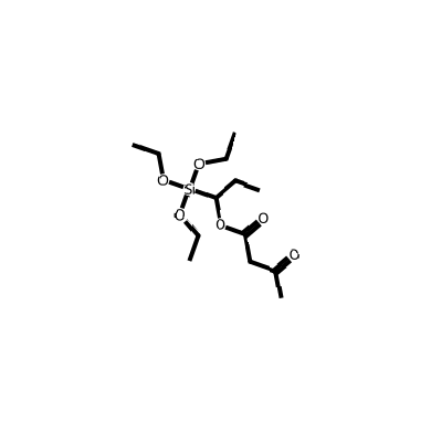 CCO[Si](OCC)(OCC)C(CC)OC(=O)CC(C)=O